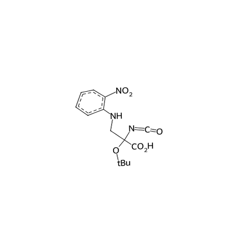 CC(C)(C)OC(CNc1ccccc1[N+](=O)[O-])(N=C=O)C(=O)O